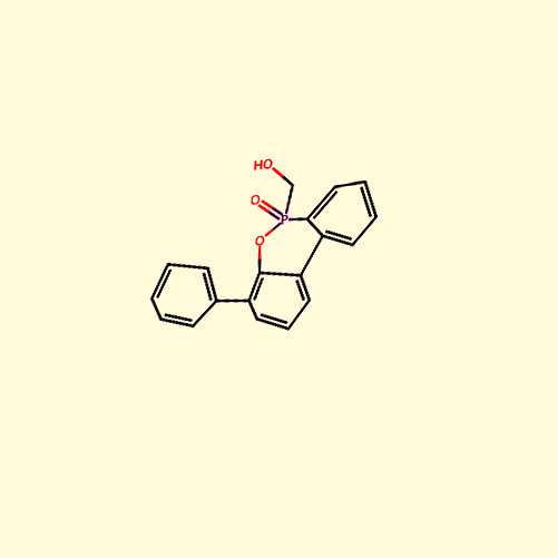 O=P1(CO)Oc2c(-c3ccccc3)cccc2-c2ccccc21